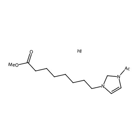 COC(=O)CCCCCCCN1C=CN(C(C)=O)C1.I